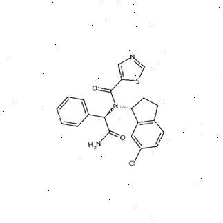 NC(=O)[C@@H](c1ccccc1)N(C(=O)c1cncs1)[C@@H]1CCc2ccc(Cl)cc21